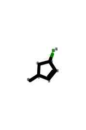 CC1C=CC(F)C1